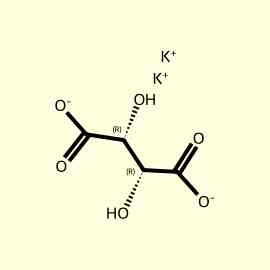 O=C([O-])[C@H](O)[C@@H](O)C(=O)[O-].[K+].[K+]